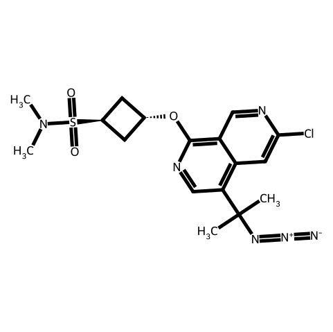 CN(C)S(=O)(=O)[C@H]1C[C@H](Oc2ncc(C(C)(C)N=[N+]=[N-])c3cc(Cl)ncc23)C1